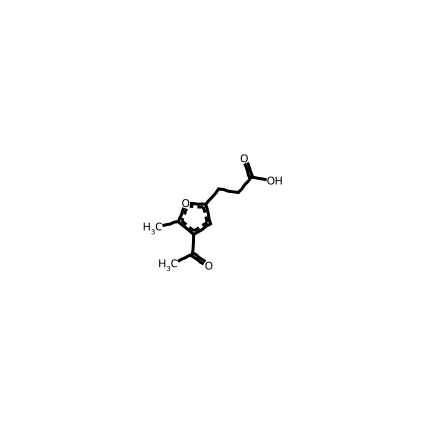 CC(=O)c1cc(CCC(=O)O)oc1C